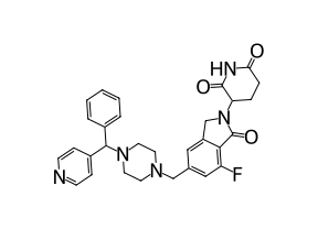 O=C1CCC(N2Cc3cc(CN4CCN(C(c5ccccc5)c5ccncc5)CC4)cc(F)c3C2=O)C(=O)N1